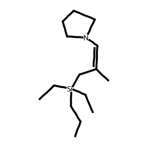 CCC[Si](CC)(CC)CC(C)=CN1CCCC1